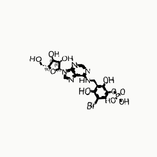 O=P(O)(O)Oc1cc(Br)c(O)c(CNc2ncnc3c2ncn3[C@@H]2O[C@H](CO)[C@@H](O)[C@H]2O)c1O